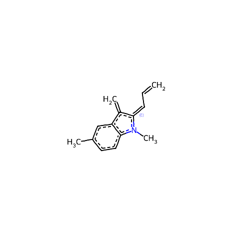 C=C/C=c1\c(=C)c2cc(C)ccc2n1C